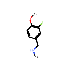 CC(C)(C)NCc1ccc(OC(C)(C)C)c(F)c1